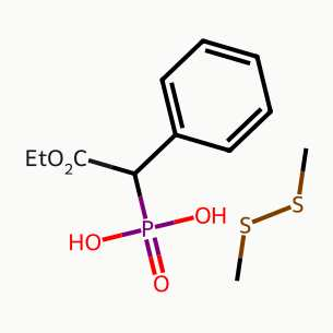 CCOC(=O)C(c1ccccc1)P(=O)(O)O.CSSC